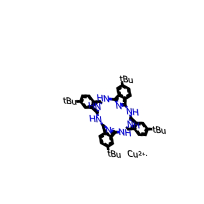 CC(C)(C)c1ccc2c3[n-]c(c2c1)Nc1[nH]c(c2cc(C(C)(C)C)ccc12)Nc1[n-]c(c2cc(C(C)(C)C)ccc12)Nc1[nH]c(c2cc(C(C)(C)C)ccc12)N3.[Cu+2]